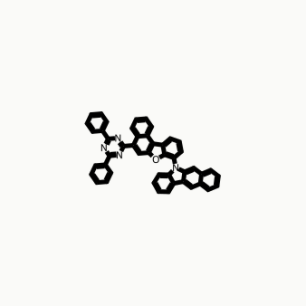 c1ccc(-c2nc(-c3ccccc3)nc(-c3cc4oc5c(-n6c7ccccc7c7cc8ccccc8cc76)cccc5c4c4ccccc34)n2)cc1